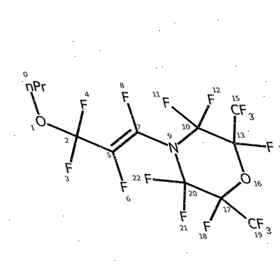 CCCOC(F)(F)/C(F)=C(\F)N1C(F)(F)C(F)(C(F)(F)F)OC(F)(C(F)(F)F)C1(F)F